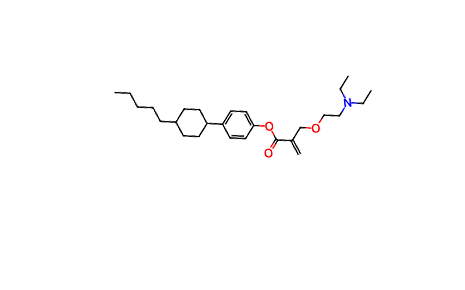 C=C(COCCN(CC)CC)C(=O)Oc1ccc(C2CCC(CCCCC)CC2)cc1